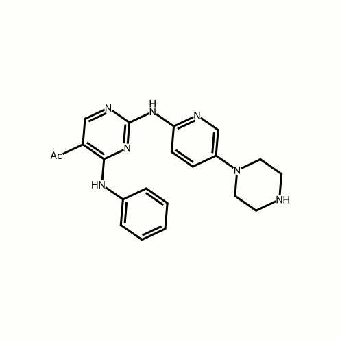 CC(=O)c1cnc(Nc2ccc(N3CCNCC3)cn2)nc1Nc1ccccc1